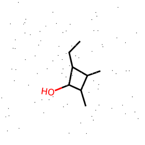 CCC1C(C)C(C)C1O